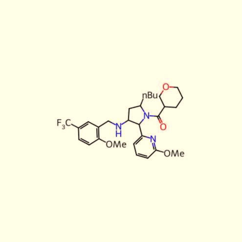 CCCCC1CC(NCc2cc(C(F)(F)F)ccc2OC)C(c2cccc(OC)n2)N1C(=O)C1CCCOC1